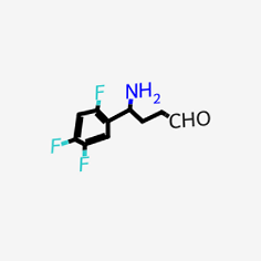 NC(CCC=O)c1cc(F)c(F)cc1F